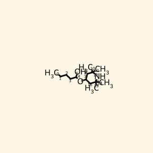 CCCCC(O)OC1CC(C)(C)NC(C)(C)C1